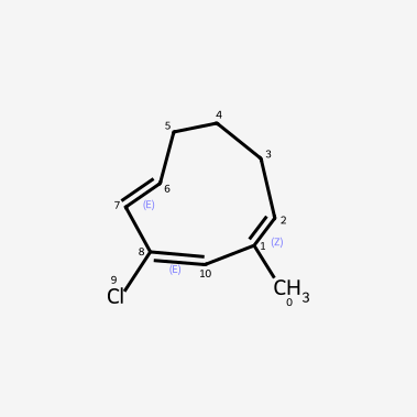 CC1=C/CCC/C=C/C(Cl)=C\1